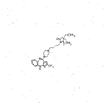 CCC1(CC)CC(=O)N(CCCCN2CCN(C3=Nc4ccccc4Nc4sc(C)cc43)CC2)C1=O